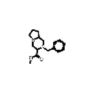 COC(=O)C1CN2CCCC2CN1Cc1ccccc1